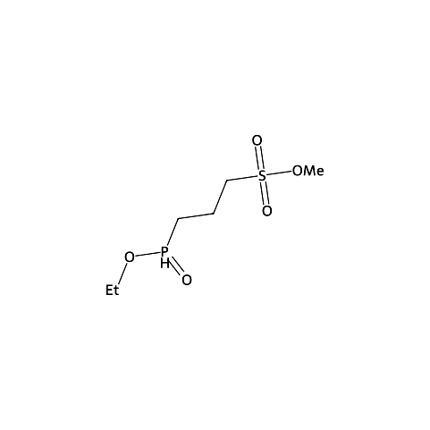 CCO[PH](=O)CCCS(=O)(=O)OC